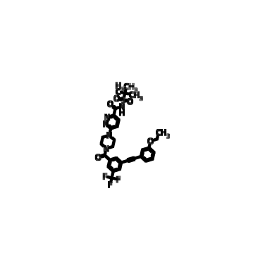 CCOc1cccc(C#Cc2cc(C(=O)N3CCN(c4ccc(C(=O)NS(=O)(=O)C(C)(C)C)nn4)CC3)cc(C(F)(F)F)c2)c1